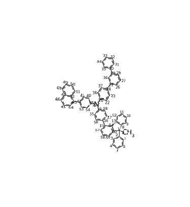 CC1(c2ccccc2)c2ccccc2-c2c(-c3ccc(N(c4ccc(-c5cccc(-c6ccccc6)c5)cc4)c4ccc(-c5cccc6ccccc56)cc4)cc3)cccc21